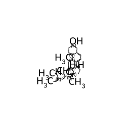 CC[C@H](CC[C@@H](C)[C@H]1CC[C@H]2C3=CC=C4C[C@@H](O)CC[C@]4(C)[C@H]3CC[C@]12C)C(C)C